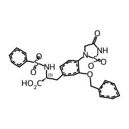 O=C1CN(c2ccc(C[C@H](NS(=O)(=O)c3ccccc3)C(=O)O)cc2OCc2ccccc2)S(=O)(=O)N1